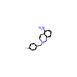 Nc1cccc2c1C=CN(Cc1ccc(F)cc1)C2